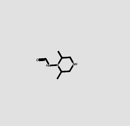 CC1CNCC(C)N1NC=O